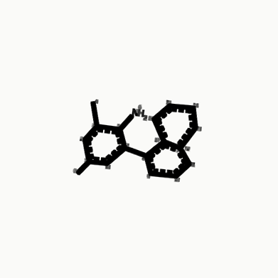 Cc1cc(C)c(N)c(-c2cccc3ccccc23)c1